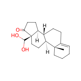 C[C@]12CCCC=C1CC[C@@H]1[C@@H]2CC[C@]2(C(O)O)C(=O)CC[C@@H]12